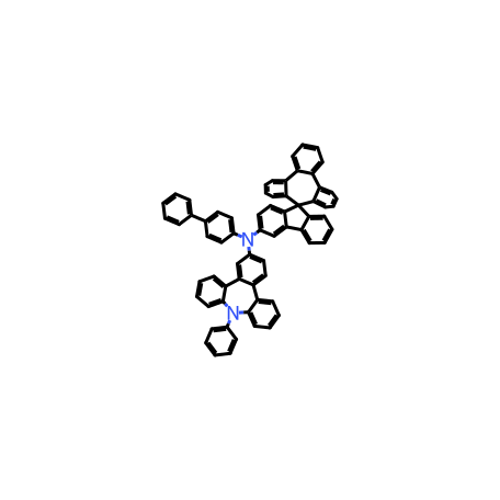 c1ccc(-c2ccc(N(c3ccc4c(c3)-c3ccccc3N(c3ccccc3)c3ccccc3-4)c3ccc4c(c3)-c3ccccc3C43c4ccccc4-c4ccccc4-c4ccccc43)cc2)cc1